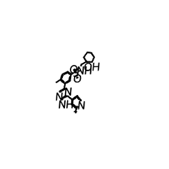 Cc1cc(-c2nc(-c3cc(S(=O)(=O)NCC4(O)CCCCC4)ccc3C)cnc2N)ccn1